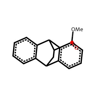 COC(=O)C1CC2c3ccccc3C1c1ccccc12